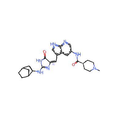 CN1CCC(C(=O)Nc2cnc3[nH]cc(/C=C4/N=C(NC5CC6CCC5C6)NC4=O)c3c2)CC1